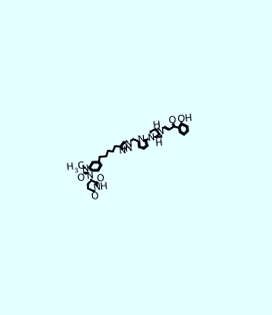 Cn1c(=O)n(C2CCC(=O)NC2=O)c2ccc(CCCCCc3cn(Cc4cccc(N5C[C@@H]6C[C@@H]5CN6/C=C/C(=O)c5ccccc5O)n4)nn3)cc21